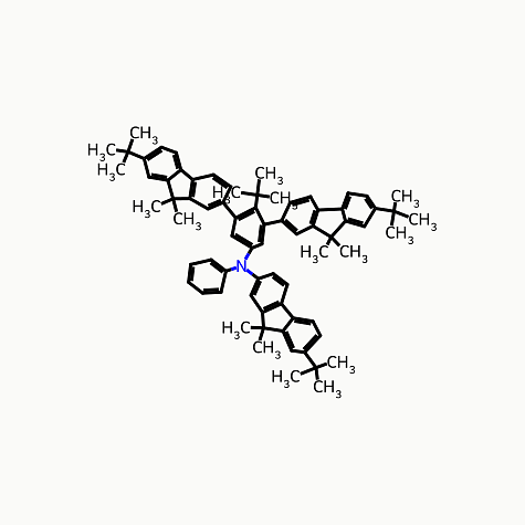 CC(C)(C)c1ccc2c(c1)C(C)(C)c1cc(-c3cc(N(c4ccccc4)c4ccc5c(c4)C(C)(C)c4cc(C(C)(C)C)ccc4-5)cc(-c4ccc5c(c4)C(C)(C)c4cc(C(C)(C)C)ccc4-5)c3C(C)(C)C)ccc1-2